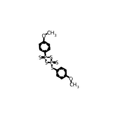 COc1ccc(SP2(=S)SP(=S)(c3ccc(OC)cc3)S2)cc1